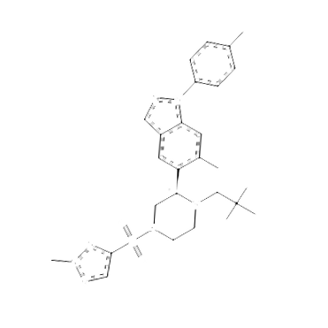 Cc1cc2c(cnn2-c2ccc(F)cc2)cc1[C@@H]1CN(S(=O)(=O)c2cnn(C)n2)CCN1CC(C)(F)F